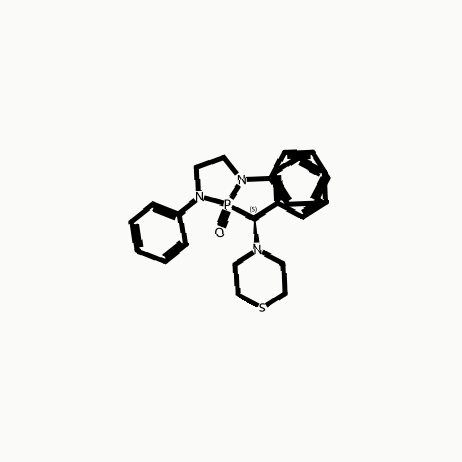 O=P1([C@@H](c2ccccc2)N2CCSCC2)N(c2ccccc2)CCN1c1ccccc1